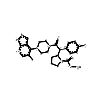 Cc1cnc2[nH]ncc2c1N1CCN(C(=O)[C@@H](c2ccc(Cl)cc2)C2CCCN2C(=O)OC(C)(C)C)CC1